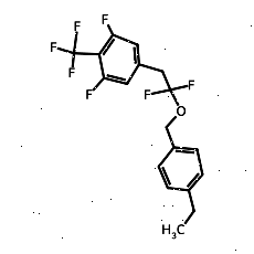 CCc1ccc(COC(F)(F)Cc2cc(F)c(C(F)(F)F)c(F)c2)cc1